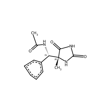 CC(=O)N[C@@H](c1ccccc1)[C@@]1(C)NC(=O)NC1=O